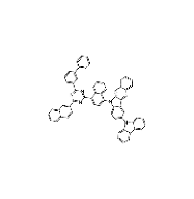 c1ccc(-c2cccc(-c3nc(-c4ccc5ccccc5c4)nc(-c4ccc(-n5c6ccc(-n7c8ccccc8c8ccccc87)cc6c6cc7ccccc7cc65)c5ccccc45)n3)c2)cc1